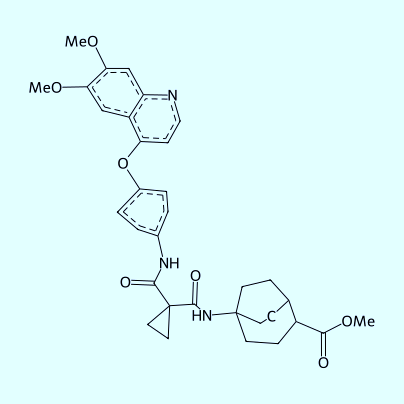 COC(=O)C1CCC2(NC(=O)C3(C(=O)Nc4ccc(Oc5ccnc6cc(OC)c(OC)cc56)cc4)CC3)CCC1CC2